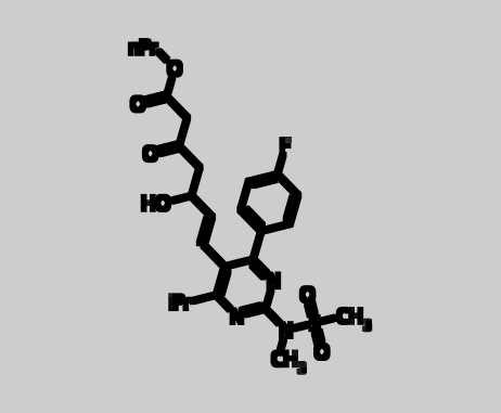 CCCOC(=O)CC(=O)CC(O)/C=C/c1c(-c2ccc(F)cc2)nc(N(C)S(C)(=O)=O)nc1C(C)C